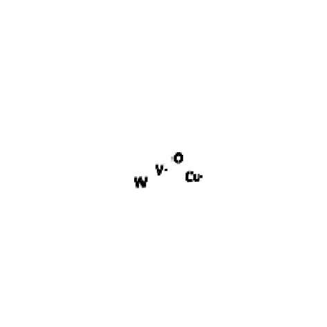 [Cu].[O].[V].[W]